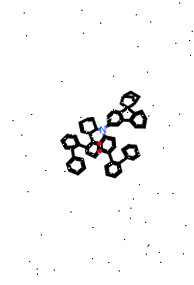 C1=CC(c2ccccc2-c2ccccc2-c2ccccc2)C(N(c2ccc(-c3ccccc3-c3ccccc3)cc2)c2ccc3c(c2)-c2ccccc2C32CC3CCC2C3)C=C1